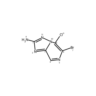 Nc1nc2cnc(Br)c(Cl)n2n1